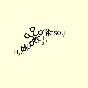 Cc1cn(Cc2ccc(C3=C(c4ccccc4)C(c4ccccc4)=C(c4ccc(Cn5cc(CS(=O)(=O)O)nn5)cc4)[Si]3(C)C)cc2)nn1